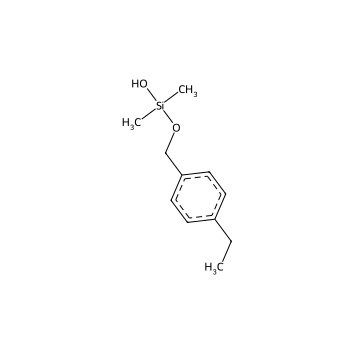 CCc1ccc(CO[Si](C)(C)O)cc1